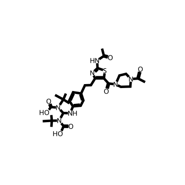 CC(=O)Nc1nc(CCc2ccc(NC(N(C(=O)O)C(C)(C)C)N(C(=O)O)C(C)(C)C)cc2)c(C(=O)N2CCN(C(C)=O)CC2)s1